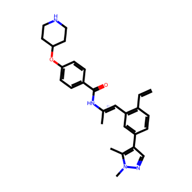 C=Cc1ccc(-c2cnn(C)c2C)cc1/C=C(\C)NC(=O)c1ccc(OC2CCNCC2)cc1